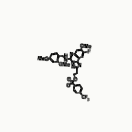 COc1ccc(CNc2nc3cc(OC)c(F)cc3c3nc(CCOS(=O)(=O)c4ccc(C(F)(F)F)cc4)nn23)c(OC)c1